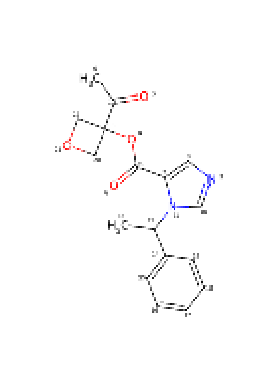 CC(=O)C1(OC(=O)c2cncn2C(C)c2ccccc2)COC1